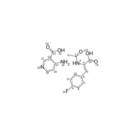 CC(=O)N/C(=C\c1ccc(F)cc1)C(=O)O.Nc1ccncc1C(=O)O